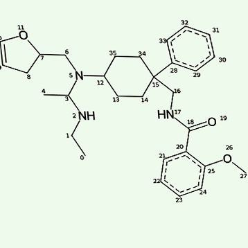 CCNC(C)N(CC1CC=CO1)C1CCC(CNC(=O)c2ccccc2OC)(c2ccccc2)CC1